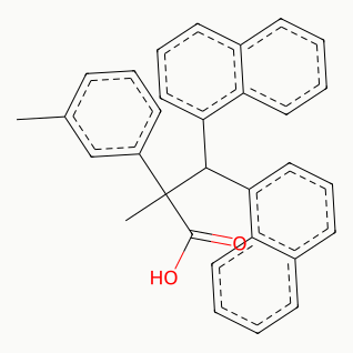 Cc1cccc(C(C)(C(=O)O)C(c2cccc3ccccc23)c2cccc3ccccc23)c1